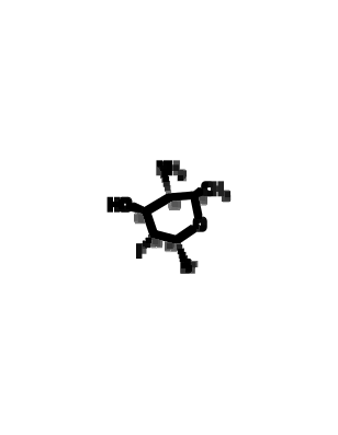 C[C@H]1O[C@H](Br)[C@H](F)[C@@H](O)[C@@H]1N